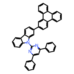 c1ccc(-c2cc(-c3ccccc3)nc(-n3c4ccccc4c4ccc(-c5ccc6c7ccccc7c7ccccc7c6c5)cc43)n2)cc1